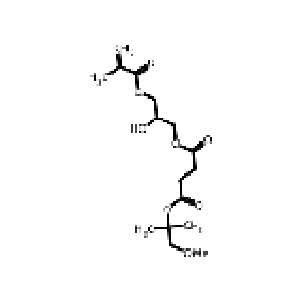 C=C(C)C(=O)OCC(O)COC(=O)CCC(=O)OC(C)(C)COC